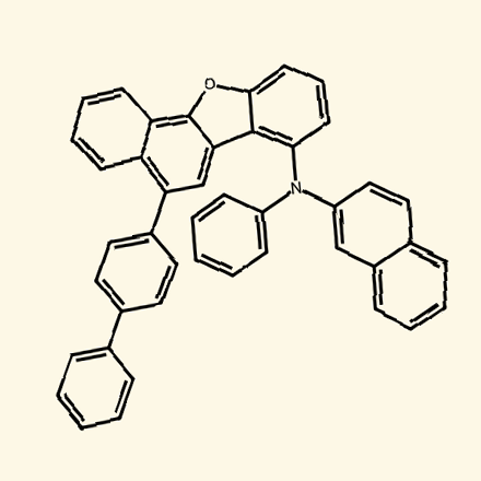 c1ccc(-c2ccc(-c3cc4c(oc5cccc(N(c6ccccc6)c6ccc7ccccc7c6)c54)c4ccccc34)cc2)cc1